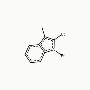 CCc1c(C)c2ccccc2n1CC